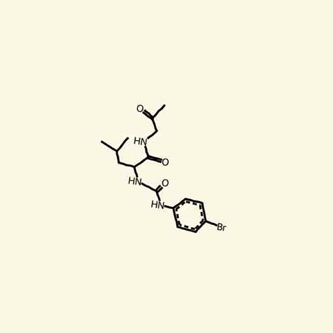 CC(=O)CNC(=O)C(CC(C)C)NC(=O)Nc1ccc(Br)cc1